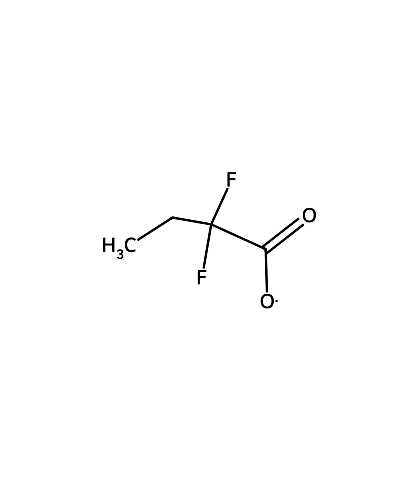 CCC(F)(F)C([O])=O